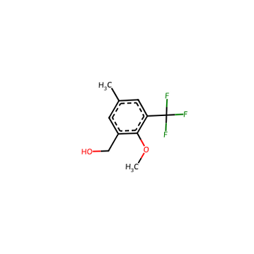 COc1c(CO)cc(C)cc1C(F)(F)F